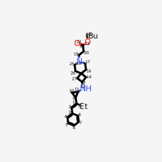 CC/C(=C\c1ccccc1)C1CC1NC1CC2(CCN(CCC(=O)OC(C)(C)C)CC2)C1